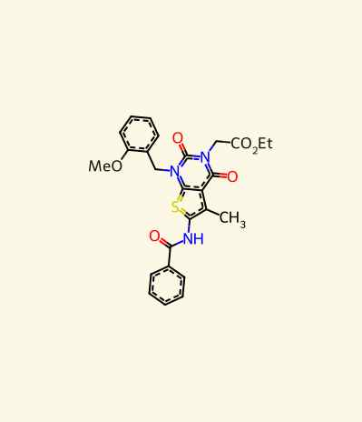 CCOC(=O)Cn1c(=O)c2c(C)c(NC(=O)c3ccccc3)sc2n(Cc2ccccc2OC)c1=O